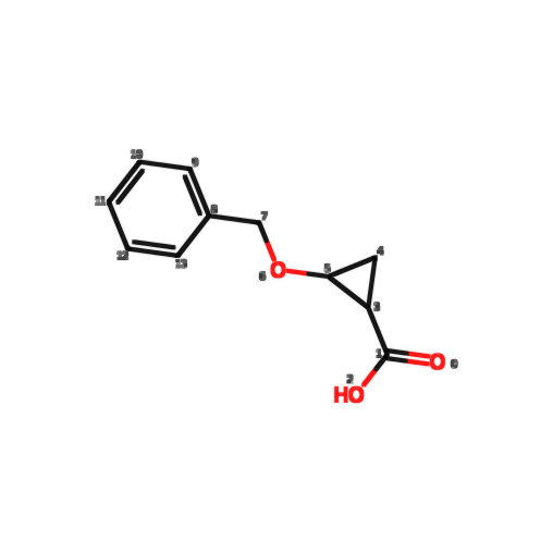 O=C(O)C1CC1OCc1ccccc1